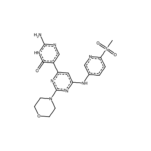 CS(=O)(=O)c1ccc(Nc2cc(-c3cnc(N)[nH]c3=O)nc(N3CCOCC3)n2)cn1